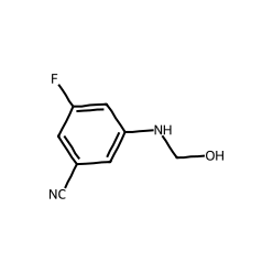 N#Cc1cc(F)cc(NCO)c1